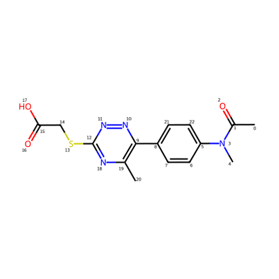 CC(=O)N(C)c1ccc(-c2nnc(SCC(=O)O)nc2C)cc1